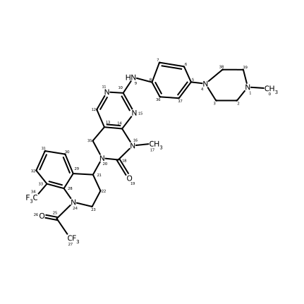 CN1CCN(c2ccc(Nc3ncc4c(n3)N(C)C(=O)N(C3CCN(C(=O)C(F)(F)F)c5c3cccc5C(F)(F)F)C4)cc2)CC1